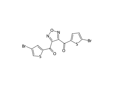 O=C(c1cc(Br)cs1)c1nonc1C(=O)c1ccc(Br)s1